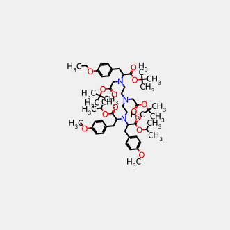 CCOc1ccc(CC(C(=O)OC(C)(C)C)N(CCN(CCN(C(Cc2ccc(OC)cc2)C(=O)OC(C)C)C(Cc2ccc(OC)cc2)C(=O)OC(C)C)CC(=O)OC(C)(C)C)CC(=O)OC(C)(C)C)cc1